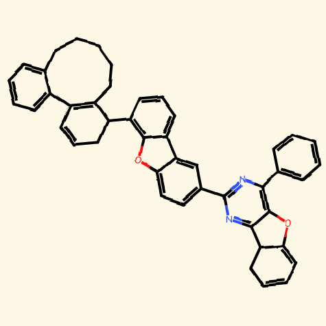 C1=CCC2C(=C1)Oc1c(-c3ccccc3)nc(-c3ccc4oc5c(C6CC=CC7=C6CCCCCc6ccccc67)cccc5c4c3)nc12